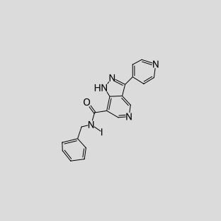 O=C(c1cncc2c(-c3ccncc3)n[nH]c12)N(I)Cc1ccccc1